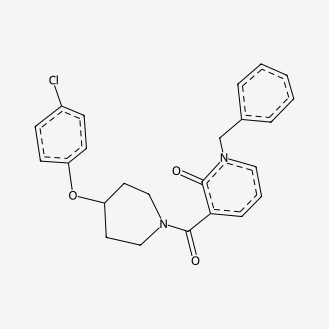 O=C(c1cccn(Cc2ccccc2)c1=O)N1CCC(Oc2ccc(Cl)cc2)CC1